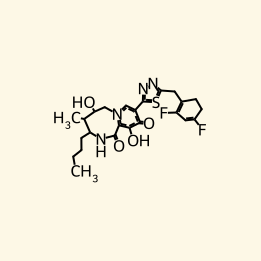 CCCCC1NC(=O)c2c(O)c(=O)c(-c3nnc(CC4=C(F)C=C(F)CC4)s3)cn2CC(O)C1C